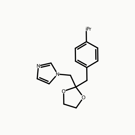 CC(C)c1ccc(CC2(Cn3ccnc3)OCCO2)cc1